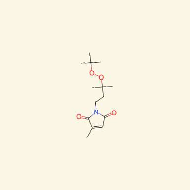 CC1=CC(=O)N(CCC(C)(C)OOC(C)(C)C)C1=O